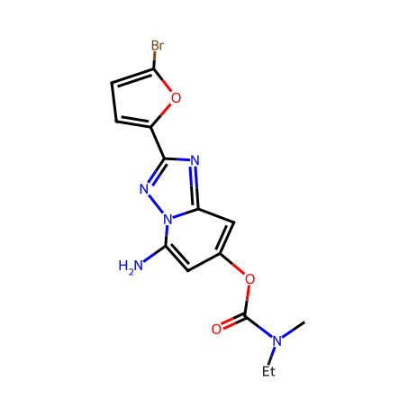 CCN(C)C(=O)Oc1cc(N)n2nc(-c3ccc(Br)o3)nc2c1